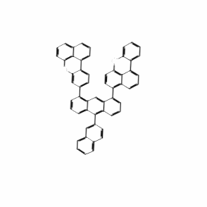 c1ccc2c(c1)Oc1ccc(-c3cccc4c(-c5ccc6ccccc6c5)c5cccc(-c6ccc7c(c6)Oc6cccc8cccc-7c68)c5cc34)c3cccc-2c13